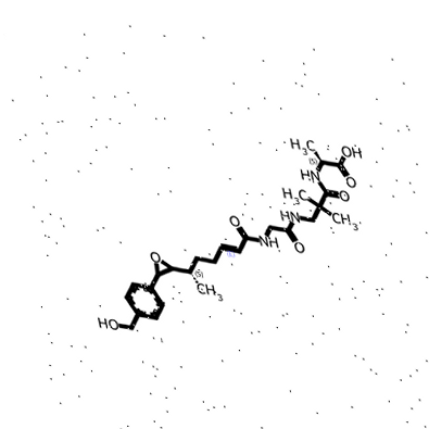 C[C@H](NC(=O)C(C)(C)CNC(=O)CNC(=O)/C=C/CC[C@H](C)C1OC1c1ccc(CO)cc1)C(=O)O